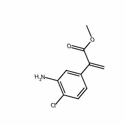 C=C(C(=O)OC)c1ccc(Cl)c(N)c1